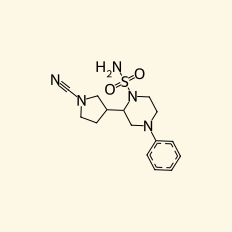 N#CN1CCC(C2CN(c3ccccc3)CCN2S(N)(=O)=O)C1